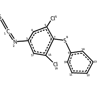 S=C=Nc1cc(Cl)c(Sc2ccccc2)c(Cl)c1